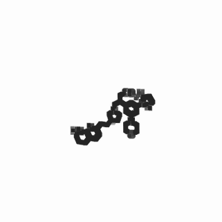 O=C(O)CC(CN1CC[C@@H](CCc2ccc3c(n2)NCCC3)C1)c1cc(N2CCOCC2)cc(-n2cccn2)c1